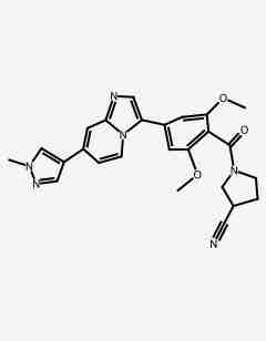 COc1cc(-c2cnc3cc(-c4cnn(C)c4)ccn23)cc(OC)c1C(=O)N1CCC(C#N)C1